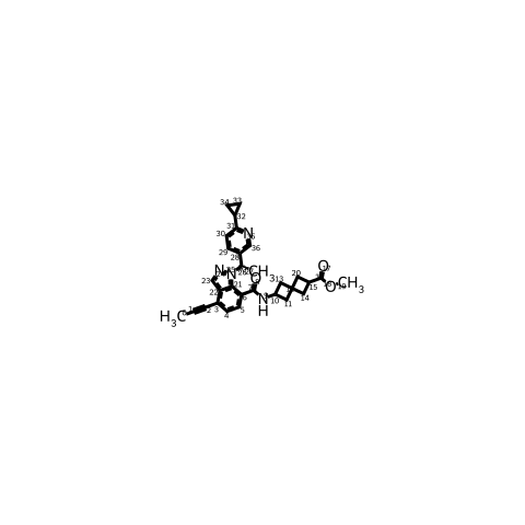 CC#Cc1ccc(C(=O)NC2CC3(C2)CC(C(=O)OC)C3)c2c1cnn2[C@H](C)c1ccc(C2CC2)nc1